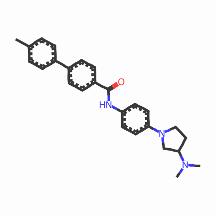 Cc1ccc(-c2ccc(C(=O)Nc3ccc(N4CCC(N(C)C)C4)cc3)cc2)cc1